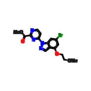 COCCOc1cc(Br)cc2c1cnn2-c1ccnc(C(=O)OC)n1